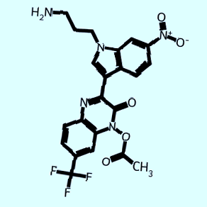 CC(=O)On1c(=O)c(-c2cn(CCCN)c3cc([N+](=O)[O-])ccc23)nc2ccc(C(F)(F)F)cc21